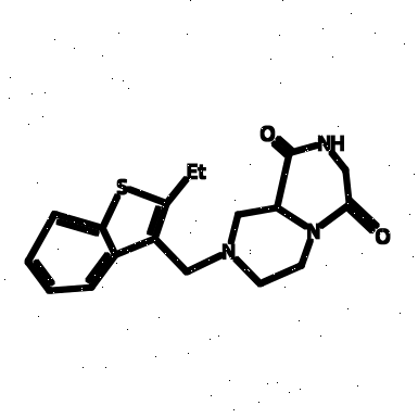 CCc1sc2ccccc2c1CN1CCN2C(=O)CNC(=O)C2C1